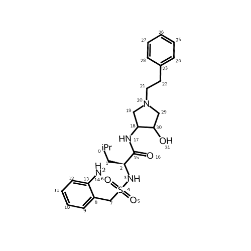 CC(C)C[C@H](NS(=O)(=O)Cc1ccccc1N)C(=O)NC1CN(CCc2ccccc2)CC1O